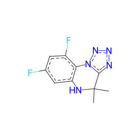 CC1(C)Nc2cc(F)cc(F)c2-n2nnnc21